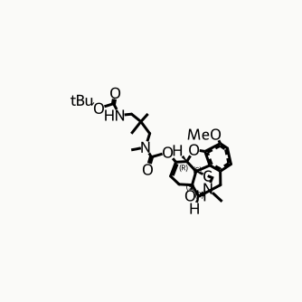 COc1ccc2c3c1O[C@H]1C(OC(=O)N(C)CC(C)(C)CNC(=O)OC(C)(C)C)=CC[C@@]4(O)[C@@H](C2)N(C)CC[C@]314